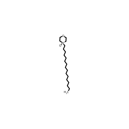 CCCCCCCCCCCCCCCC[N+]1([O-])CCOCC1